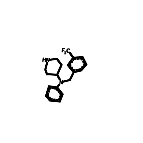 FC(F)(F)c1cccc(CN(c2ccccc2)C2CCNCC2)c1